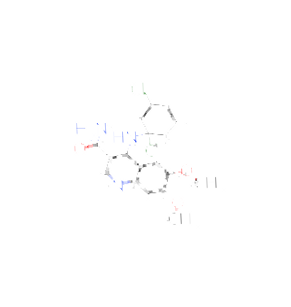 COc1cc2ncc(C(N)=O)c(NC3(Cl)C=C(Cl)C=CC3)c2cc1OC